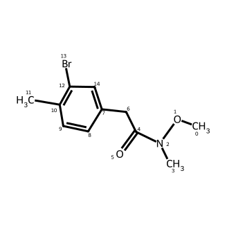 CON(C)C(=O)Cc1ccc(C)c(Br)c1